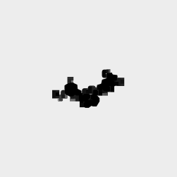 Cc1cc(F)cc(CNc2ncc3n(c2=O)[C@H](C(=O)NCc2cnc4[nH]cc(Cl)c4c2)CC3)c1